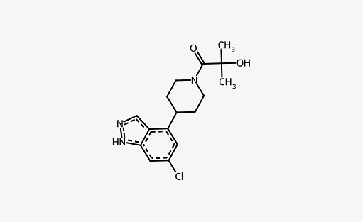 CC(C)(O)C(=O)N1CCC(c2cc(Cl)cc3[nH]ncc23)CC1